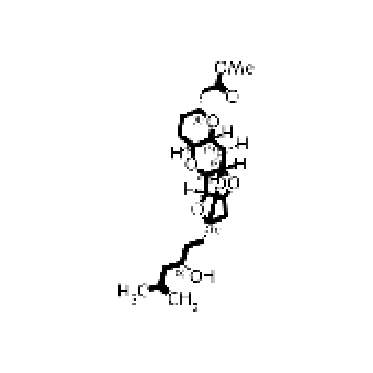 C=C(C)C[C@@H](O)CC[C@@]12CC3O[C@H]4[C@@H](O1)[C@H]1O[C@@H](CC(=O)OC)CC[C@@H]1O[C@H]4[C@H]3O2